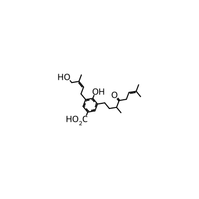 CC(C)=CCC(=O)C(C)CCc1cc(C(=O)O)cc(CC=C(C)CO)c1O